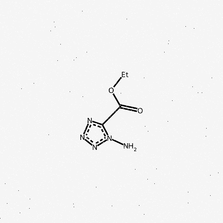 CCOC(=O)c1nnnn1N